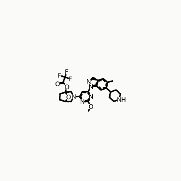 COc1nc(N2CC3CCC(OC(=O)C(F)(F)F)(C2)O3)cc(-n2ncc3cc(C)c(C4CCNCC4)cc32)n1